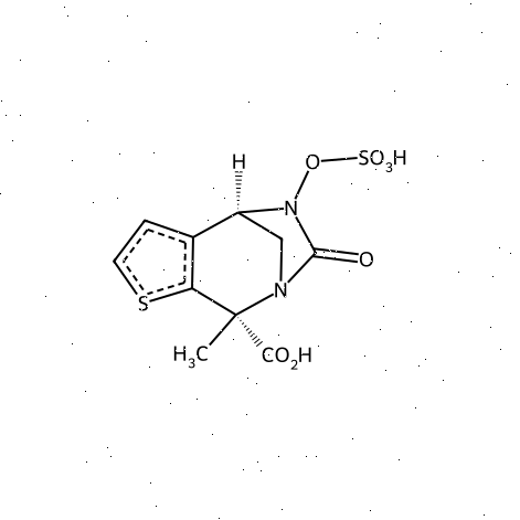 C[C@@]1(C(=O)O)c2sccc2[C@@H]2CN1C(=O)N2OS(=O)(=O)O